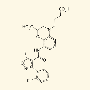 Cc1onc(-c2ccccc2Cl)c1C(=O)Nc1cccc2c1OC(C(=O)O)CN2CCCC(=O)O